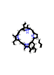 C=CCC[C@H]1Cc2cc3c(C)c(C=C)c(cc4nc(cc5[nH]c(c(CC(=C)CC)c1n2)c(C(=C)C)c5C)C(CC)=C4C)CN3